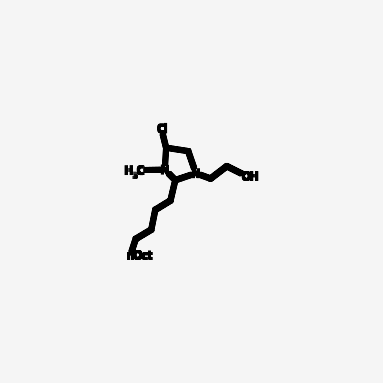 CCCCCCCCCCCCC1N(CCO)CC(Cl)N1C